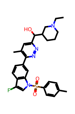 CCN1CCCC(C(O)c2cc(C)c(-c3ccc4c(F)cn(S(=O)(=O)c5ccc(C)cc5)c4c3)nn2)C1